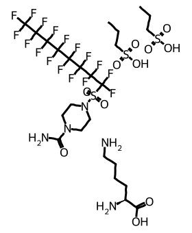 CCCS(=O)(=O)O.CCCS(=O)(=O)O.NC(=O)N1CCN(S(=O)(=O)C(F)(F)C(F)(F)C(F)(F)C(F)(F)C(F)(F)C(F)(F)C(F)(F)C(F)(F)F)CC1.NCCCC[C@H](N)C(=O)O